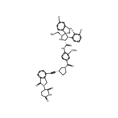 COc1cc(C(=O)N2CC[C@H](C#Cc3cccc4c3CN(C3CCC(=O)NC3=O)C4=O)C2)ccc1NC(=O)[C@@H]1N[C@@H](CC(C)(C)C)[C@@]2(CNc3cc(Cl)ccc32)[C@H]1c1cccc(Cl)c1F